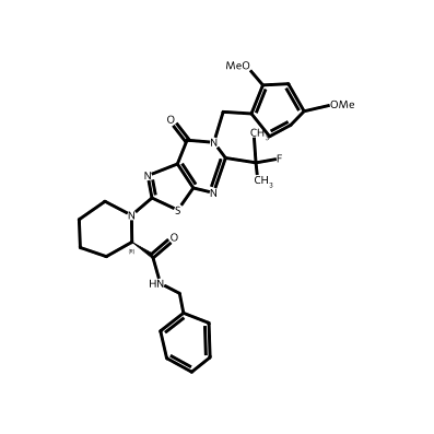 COc1ccc(Cn2c(C(C)(C)F)nc3sc(N4CCCC[C@@H]4C(=O)NCc4ccccc4)nc3c2=O)c(OC)c1